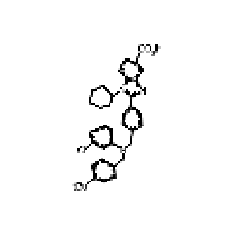 CC(C)(C)c1ccc(CN(Cc2ccc(-c3nc4cc(C(=O)O)ccc4n3C3CCCCC3)cc2)c2cccc(Cl)c2)cc1